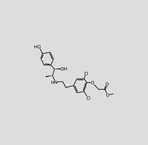 COC(=O)COc1c(Cl)cc(CCN[C@@H](C)[C@H](O)c2ccc(O)cc2)cc1Cl